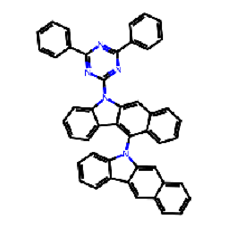 c1ccc(-c2nc(-c3ccccc3)nc(-n3c4ccccc4c4c(-n5c6ccccc6c6cc7ccccc7cc65)c5ccccc5cc43)n2)cc1